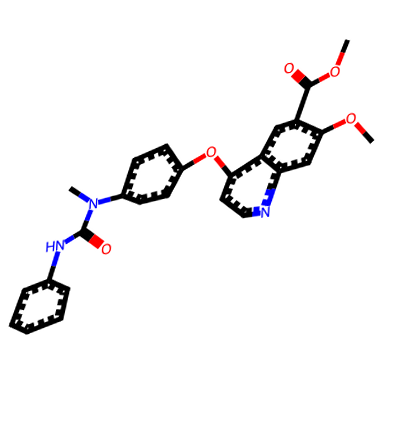 COC(=O)c1cc2c(Oc3ccc(N(C)C(=O)Nc4ccccc4)cc3)ccnc2cc1OC